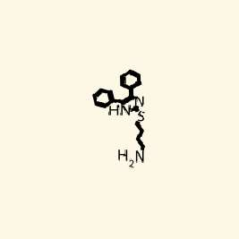 NCCCCSc1nc(-c2ccccc2)c(-c2ccccc2)[nH]1